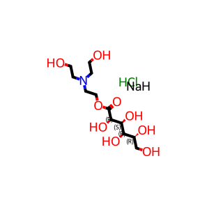 Cl.O=C(OCCN(CCO)CCO)[C@H](O)[C@@H](O)[C@H](O)[C@H](O)CO.[NaH]